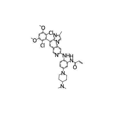 C=CC(=O)Nc1cc(N2CCC(N(C)C)CC2)ccc1Nc1cc2c(cn1)cc(-c1c(Cl)c(OC)cc(OC)c1Cl)c1nc(C)cn12